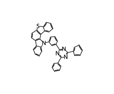 c1ccc(-c2nc(-c3ccccc3)nc(-c3cccc(-n4c5ccccc5c5ccc6sc7ccccc7c6c54)c3)n2)cc1